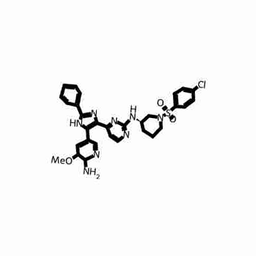 COC1C=C(c2[nH]c(-c3ccccc3)nc2-c2ccnc(N[C@H]3CCCN(S(=O)(=O)c4ccc(Cl)cc4)C3)n2)C=NC1N